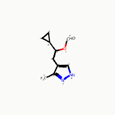 O=COC(Cc1c[nH]nc1C(F)(F)F)C1CC1